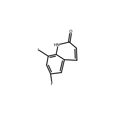 O=c1ccc2cc(F)cc(I)c2[nH]1